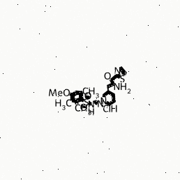 COc1cc(C)c(S(=O)(=O)NC=NN2CCC[C@H](C[C@H](N)C(=O)c3nccs3)C2)c(C)c1C.Cl